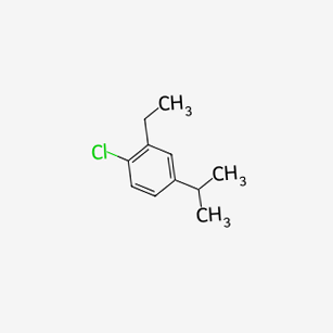 CCc1cc(C(C)C)ccc1Cl